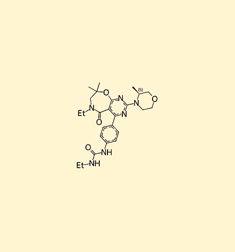 CCNC(=O)Nc1ccc(-c2nc(N3CCOC[C@@H]3C)nc3c2C(=O)N(CC)CC(C)(C)O3)cc1